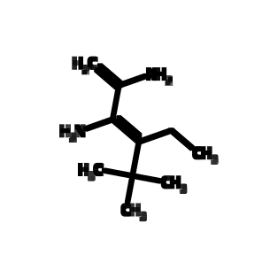 C=C(N)/C(N)=C(\CC)C(C)(C)C